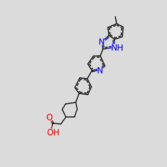 Cc1ccc2[nH]c(-c3ccc(-c4ccc(C5CCC(CC(=O)O)CC5)cc4)nc3)nc2c1